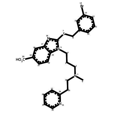 CN(CCCn1c(SCc2cccc(Br)c2)nc2cc(C(=O)O)ccc21)CCc1ccccn1